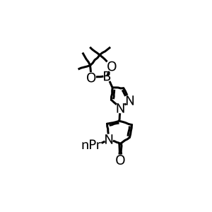 CCCn1cc(-n2cc(B3OC(C)(C)C(C)(C)O3)cn2)ccc1=O